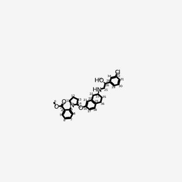 COC(=O)c1ccccc1N1CCCC1Oc1ccc2c(c1)C[C@@H](NC[C@@H](O)c1cccc(Cl)c1)CC2